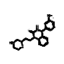 Nc1cccc(C2NC(=S)C(CCC3CNCCS3)c3ccccc32)c1